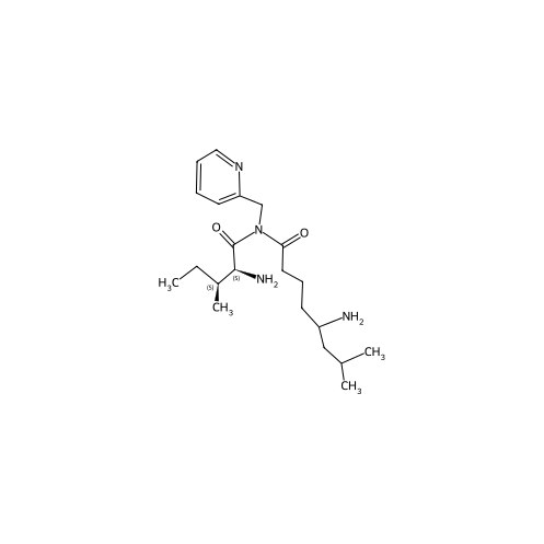 CC[C@H](C)[C@H](N)C(=O)N(Cc1ccccn1)C(=O)CCCC(N)CC(C)C